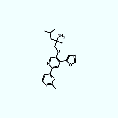 Cc1nccc(-c2cc(-c3cnco3)c(OC[C@@](C)(N)CC(C)C)cn2)n1